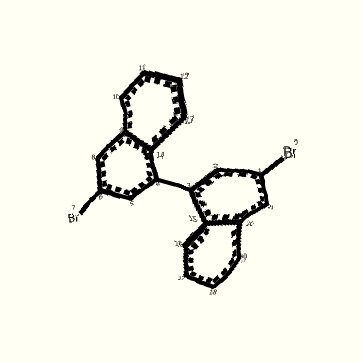 Brc1cc(-c2cc(Br)cc3ccccc23)c2ccccc2c1